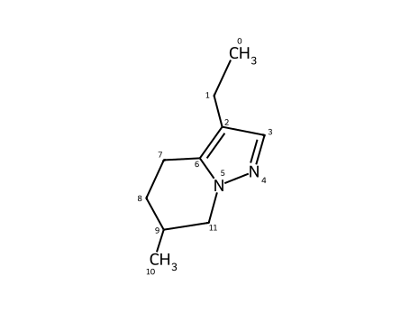 CCc1cnn2c1CCC(C)C2